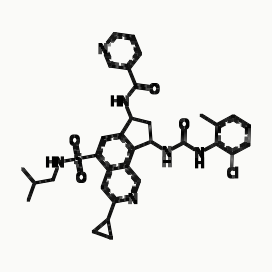 Cc1cccc(Cl)c1NC(=O)NC1CC(NC(=O)c2cccnc2)c2cc(S(=O)(=O)NCC(C)C)c3cc(C4CC4)ncc3c21